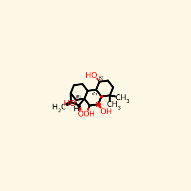 C=C1C(=O)C23C(CCC1[C@H]2O)[C@]12COC3(O)C(O)C1C(C)(C)CC[C@@H]2O